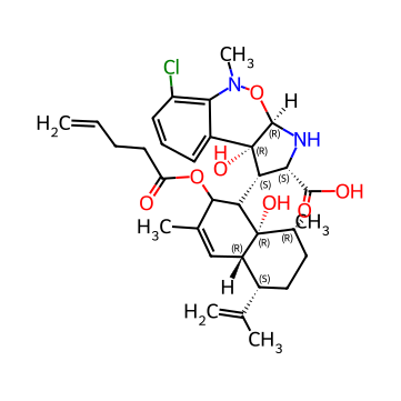 C=CCCC(=O)OC1C(C)=C[C@H]2[C@@H](C(=C)C)CC[C@@H](C)[C@]2(O)C1[C@H]1[C@@H](C(=O)O)N[C@@H]2ON(C)c3c(Cl)cccc3[C@@]21O